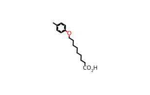 Cc1ccc(OCCCCCCCCC(=O)O)cc1